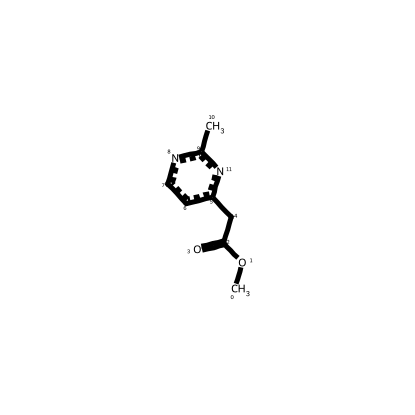 COC(=O)Cc1ccnc(C)n1